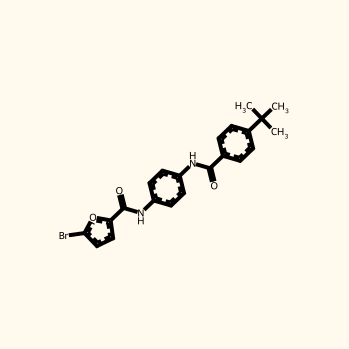 CC(C)(C)c1ccc(C(=O)Nc2ccc(NC(=O)c3ccc(Br)o3)cc2)cc1